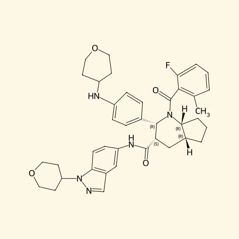 Cc1cccc(F)c1C(=O)N1[C@@H]2CCC[C@@H]2C[C@H](C(=O)Nc2ccc3c(cnn3C3CCOCC3)c2)[C@@H]1c1ccc(NC2CCOCC2)cc1